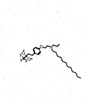 CCCCCCCCCCCCN(CCC)CCOc1ccc(CCC(OC)(OC)C(F)(F)F)cc1